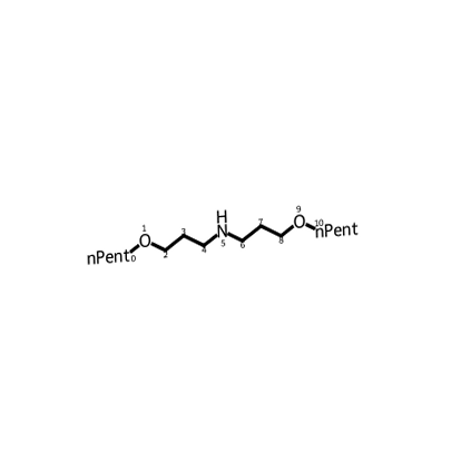 CCCCCOCCCNCCCOCCCCC